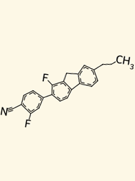 CCCc1ccc2c(c1)Cc1c-2ccc(-c2ccc(C#N)c(F)c2)c1F